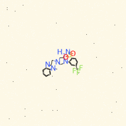 Cn1c(CN2CCN(c3cc(C(F)(F)F)ccc3S(N)(=O)=O)CC2)nc2ccccc21